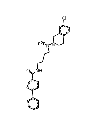 CCCN(CCCCNC(=O)c1ccc(-c2ccccc2)cc1)[C@@H]1CCc2ccc(Cl)cc2C1